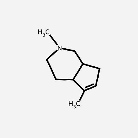 CC1=CCC2CN(C)CCC12